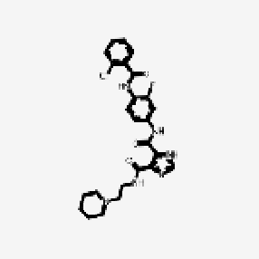 O=C(Nc1ccc(NC(=O)c2[nH]cnc2C(=O)NCCN2CCCCC2)cc1F)c1ccccc1Cl